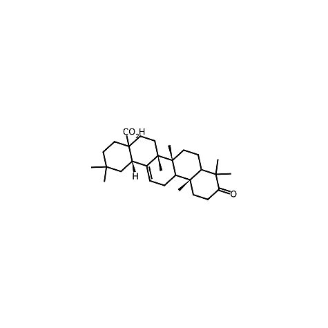 CC1(C)CCC2(C(=O)O)CC[C@@]3(C)C(=CCC4[C@@]5(C)CCC(=O)C(C)(C)C5CC[C@]43C)[C@@H]2C1